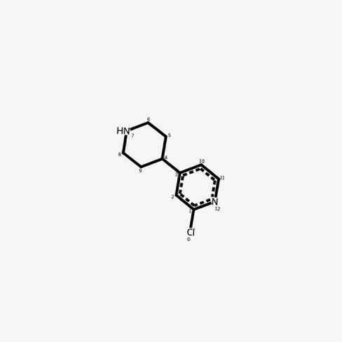 Clc1cc(C2CCNCC2)ccn1